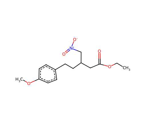 CCOC(=O)CC(CCc1ccc(OC)cc1)C[N+](=O)[O-]